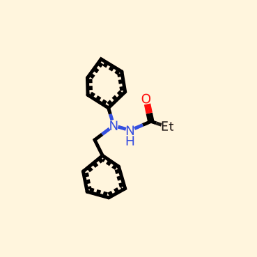 CCC(=O)NN(Cc1ccccc1)c1ccccc1